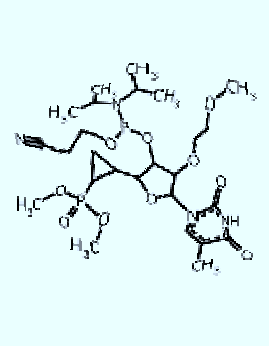 COCCOC1C(OP(OCCC#N)N(C(C)C)C(C)C)C(C2CC2P(=O)(OC)OC)OC1n1cc(C)c(=O)[nH]c1=O